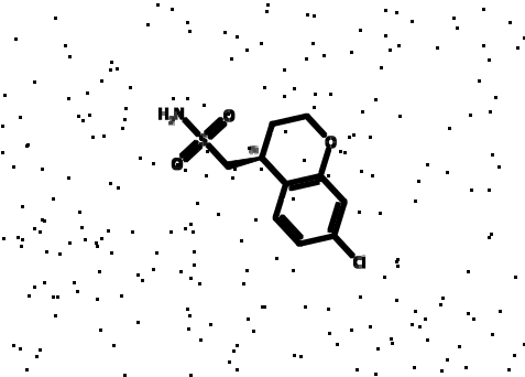 NS(=O)(=O)C[C@H]1CCOc2cc(Cl)ccc21